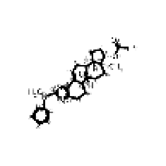 CCCC(=O)O[C@H]1CC[C@H]2[C@@H]3CC=C4c5sc(N(C)c6ccccc6)nc5CC[C@]4(C)[C@H]3CC[C@]12C